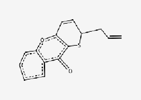 C=CCC1C=Cc2oc3ccccc3c(=O)c2S1